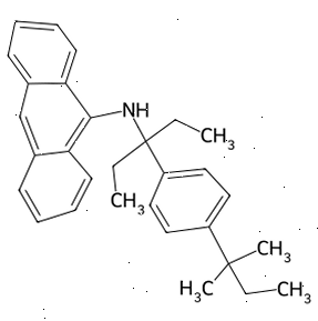 CCC(C)(C)c1ccc(C(CC)(CC)Nc2c3ccccc3cc3ccccc23)cc1